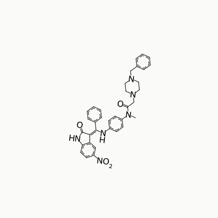 CN(C(=O)CN1CCN(Cc2ccccc2)CC1)c1ccc(NC(=C2C(=O)Nc3ccc([N+](=O)[O-])cc32)c2ccccc2)cc1